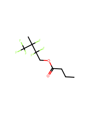 CCCC(=O)OCC(F)(F)C(C)(F)C(F)(F)F